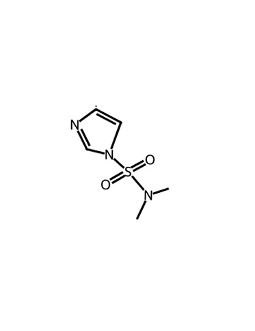 CN(C)S(=O)(=O)n1c[c]nc1